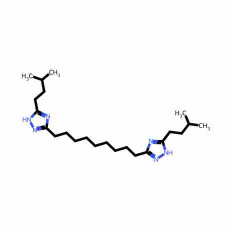 CC(C)CCc1nc(CCCCCCCCCc2n[nH]c(CCC(C)C)n2)n[nH]1